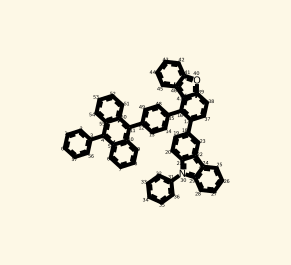 c1ccc(-c2c3ccccc3c(-c3ccc(-c4c(-c5ccc6c(c5)c5ccccc5n6-c5ccccc5)ccc5oc6ccccc6c45)cc3)c3ccccc23)cc1